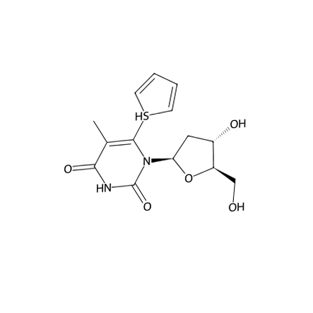 Cc1c([SH]2C=CC=C2)n([C@H]2C[C@H](O)[C@@H](CO)O2)c(=O)[nH]c1=O